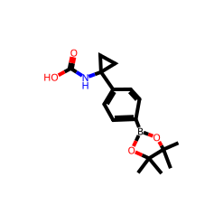 CC1(C)OB(c2ccc(C3(NC(=O)O)CC3)cc2)OC1(C)C